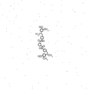 Cc1cc(C(C)Cc2ccc(NC(=O)c3cccc(C(=O)Nc4ccc(CC(C)c5ccc(O)c(C)c5)cc4)c3)cc2)ccc1O